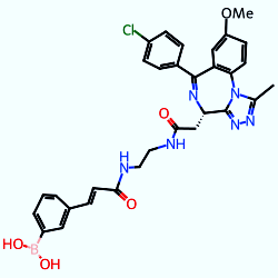 COc1ccc2c(c1)C(c1ccc(Cl)cc1)=N[C@@H](CC(=O)NCCNC(=O)/C=C/c1cccc(B(O)O)c1)c1nnc(C)n1-2